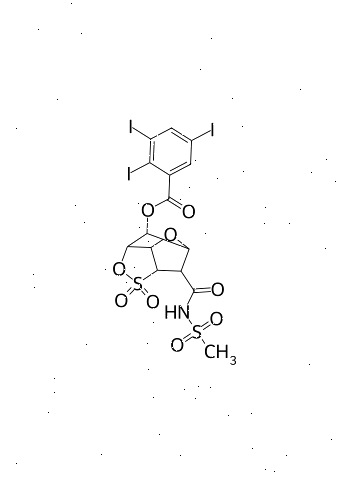 CS(=O)(=O)NC(=O)C1C2OC3C(OS(=O)(=O)C31)C2OC(=O)c1cc(I)cc(I)c1I